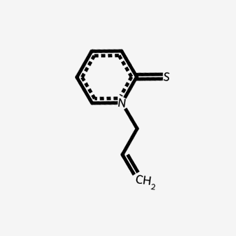 C=CCn1ccccc1=S